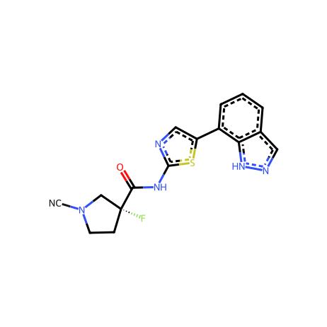 N#CN1CC[C@](F)(C(=O)Nc2ncc(-c3cccc4cn[nH]c34)s2)C1